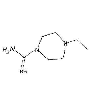 CCN1CCN(C(=N)N)CC1